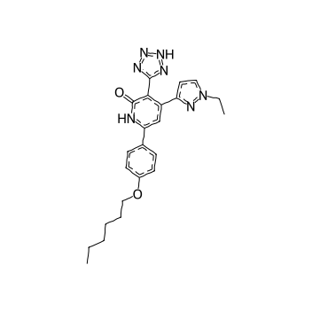 CCCCCCOc1ccc(-c2cc(-c3ccn(CC)n3)c(-c3nn[nH]n3)c(=O)[nH]2)cc1